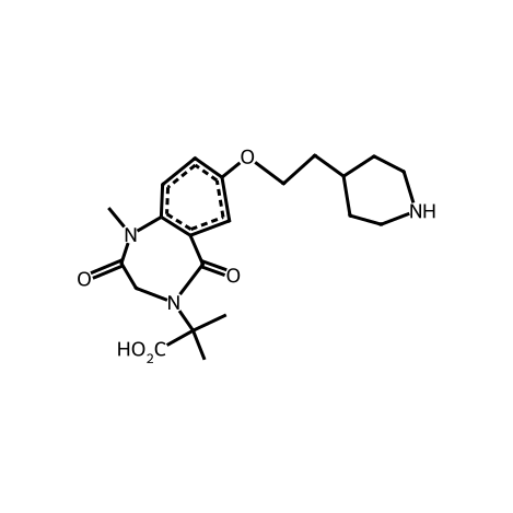 CN1C(=O)CN(C(C)(C)C(=O)O)C(=O)c2cc(OCCC3CCNCC3)ccc21